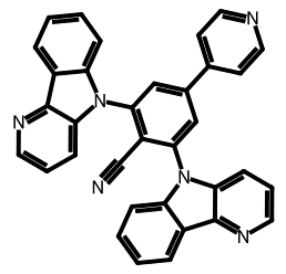 N#Cc1c(-n2c3ccccc3c3ncccc32)cc(-c2ccncc2)cc1-n1c2ccccc2c2ncccc21